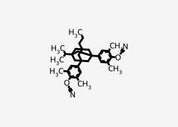 CCCC12CC3(c4cc(C)c(OC#N)c(C)c4)CC(c4cc(C)c(OC#N)c(C)c4)(C1)CC(C(C)C)(C2)C3